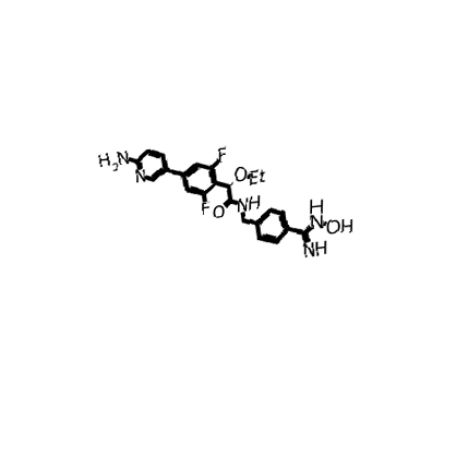 CCO[C@H](C(=O)NCc1ccc(C(=N)NO)cc1)c1c(F)cc(-c2ccc(N)nc2)cc1F